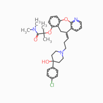 CN(C)C(=O)C(C)(C)Oc1cccc2c1CC(=CCCN1CCC(O)(c3ccc(Cl)cc3)CC1)c1cccnc1O2